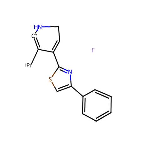 CC(C)C1=[C+]NCC=C1c1nc(-c2ccccc2)cs1.[I-]